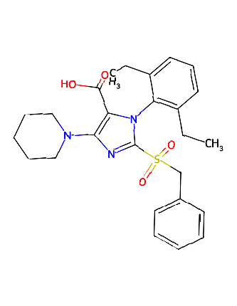 CCc1cccc(CC)c1-n1c(S(=O)(=O)Cc2ccccc2)nc(N2CCCCC2)c1C(=O)O